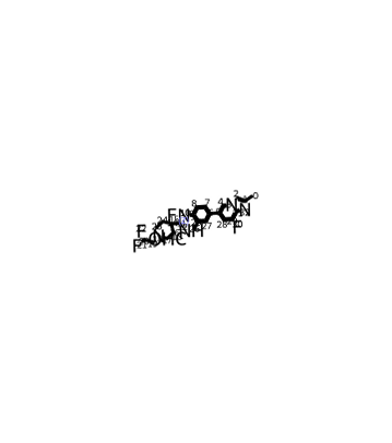 Cc1cn2cc(-c3ccc(/N=C(\NC=O)C4(F)CCN(CC(F)F)CC4)c(C)c3)cc(F)c2n1